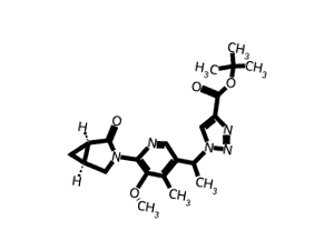 COc1c(N2C[C@H]3C[C@H]3C2=O)ncc(C(C)n2cc(C(=O)OC(C)(C)C)nn2)c1C